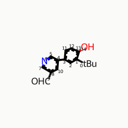 CC(C)(C)c1cc(-c2cncc(C=O)c2)ccc1O